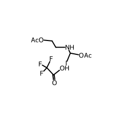 CC(=O)OCCNC(I)OC(C)=O.O=C(O)C(F)(F)F